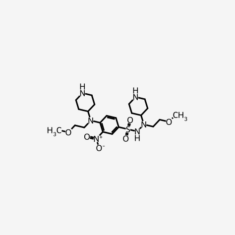 COCCN(NS(=O)(=O)c1ccc(N(CCOC)C2CCNCC2)c([N+](=O)[O-])c1)C1CCNCC1